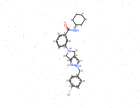 O=C(NC1CCCCC1)c1cccc(N2Cc3cn(Cc4ccc(F)cc4)nc3C2)c1